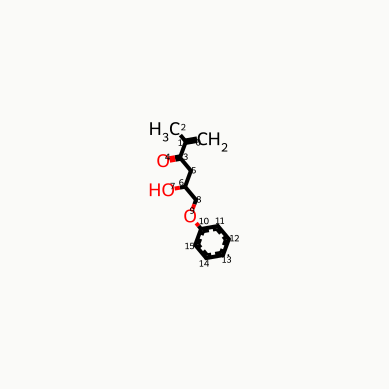 C=C(C)C(=O)CC(O)COc1cc[c]cc1